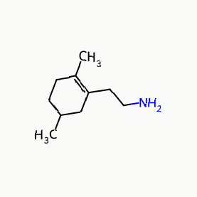 CC1=C(CCN)CC(C)CC1